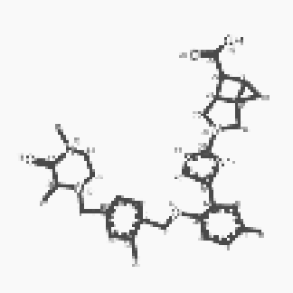 Cc1ccc(OCc2ccc(CN3CCN(C)C(=O)C3C)cc2C)c(-c2csc(N3CC4C(C(=O)O)C5CC45C3)n2)c1